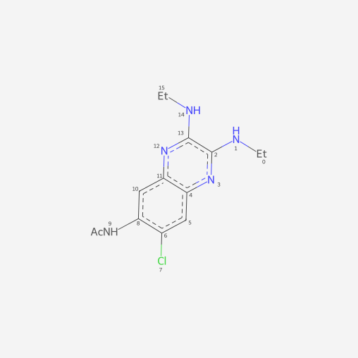 CCNc1nc2cc(Cl)c(NC(C)=O)cc2nc1NCC